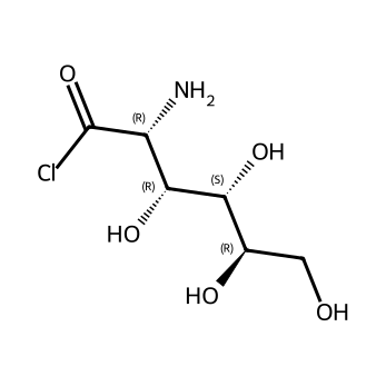 N[C@@H](C(=O)Cl)[C@@H](O)[C@H](O)[C@H](O)CO